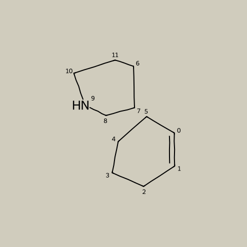 C1=CCCCC1.C1CCNCC1